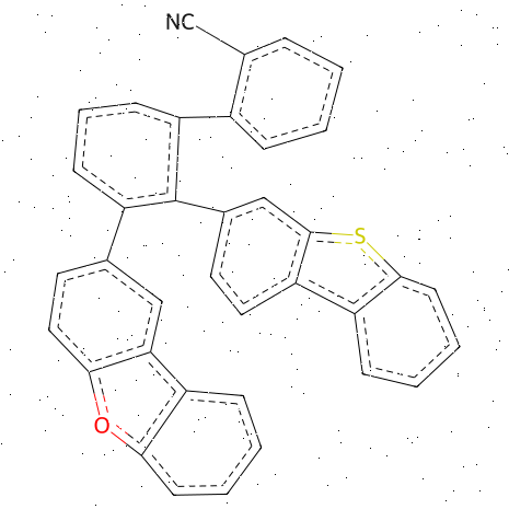 N#Cc1ccccc1-c1cccc(-c2ccc3oc4ccccc4c3c2)c1-c1ccc2c(c1)sc1ccccc12